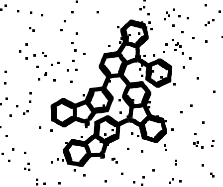 c1ccc(-n2c3ccccc3c3ccc(-c4ccc5sc6ccccc6c5c4)c(-c4ccc5c6ccccc6n(-c6ccc7c(c6)sc6ccccc67)c5c4)c32)cc1